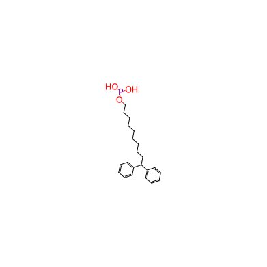 OP(O)OCCCCCCCCCC(c1ccccc1)c1ccccc1